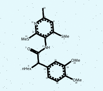 CCCCCCC(C(=O)Nc1c(SC)cc(C)nc1SC)c1ccc(OC)c(OC)c1